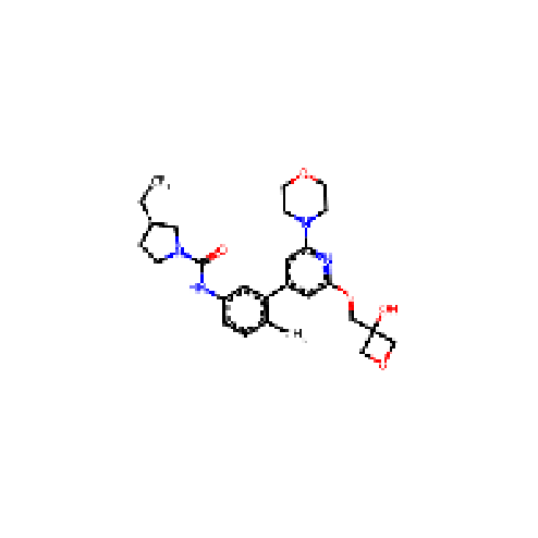 Cc1ccc(NC(=O)N2CC[C@@H](CC(F)(F)F)C2)cc1-c1cc(OCC2(O)COC2)nc(N2CCOCC2)c1